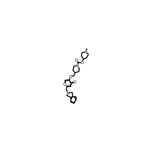 CN1CCC(OC(=O)N2CCC(COc3coc(CN4Cc5ccccc5C4)cc3=O)CC2)CC1